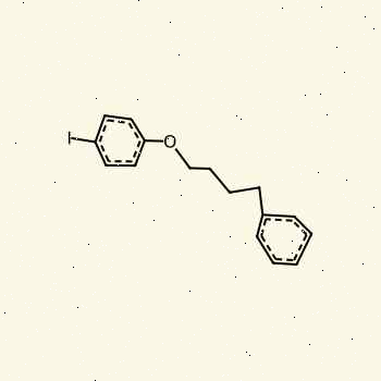 Ic1ccc(OCCCCc2ccccc2)cc1